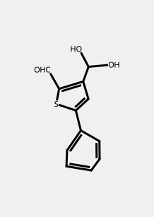 O=Cc1sc(-c2ccccc2)cc1C(O)O